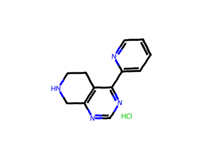 Cl.c1ccc(-c2ncnc3c2CCNC3)nc1